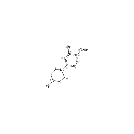 CCN1CCN(c2ccc(OC)c(Br)n2)CC1